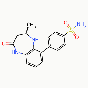 C[C@@H]1CC(=O)Nc2cccc(-c3ccc(S(N)(=O)=O)cc3)c2N1